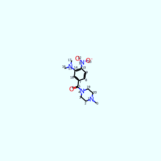 CN1CCN(C(=O)c2ccc([N+](=O)[O-])c(N(C)C)c2)CC1